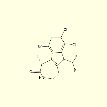 C[C@H]1C(=O)NCCc2c1c1c(Br)cc(Cl)c(Cl)c1n2C(F)F